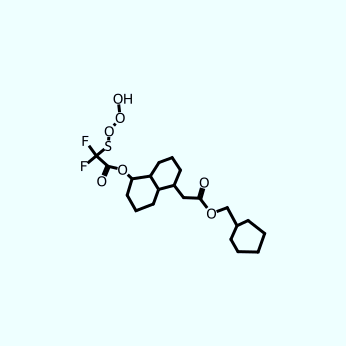 O=C(CC1CCCC2C(OC(=O)C(F)(F)SOOO)CCCC12)OCC1CCCCC1